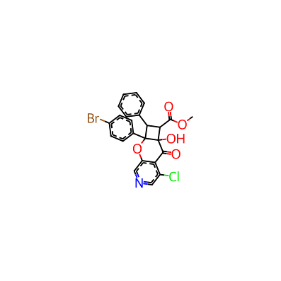 COC(=O)C1C(c2ccccc2)C2(c3ccc(Br)cc3)Oc3cncc(Cl)c3C(=O)C12O